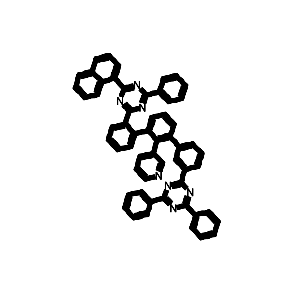 c1ccc(-c2nc(-c3ccccc3)nc(-c3cccc(-c4cccc(-c5ccccc5-c5nc(-c6ccccc6)nc(-c6cccc7ccccc67)n5)c4-c4cccnc4)c3)n2)cc1